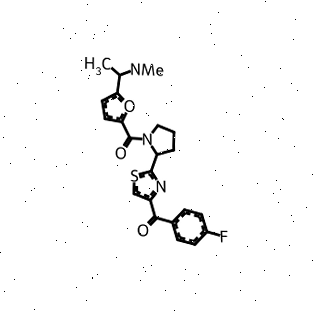 CNC(C)c1ccc(C(=O)N2CCCC2c2nc(C(=O)c3ccc(F)cc3)cs2)o1